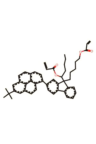 C=CC(=O)OCCCCCC1(C(CCCC)OC(=O)C=C)c2ccccc2-c2ccc(-c3ccc4ccc5cc(C(C)(C)C)cc6ccc3c4c56)cc21